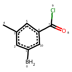 Bc1cc(C)cc(C(=O)Cl)c1